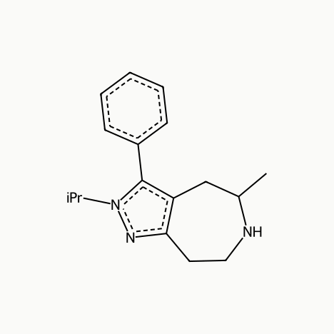 CC1Cc2c(nn(C(C)C)c2-c2ccccc2)CCN1